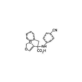 N#Cc1ccc(NC(Cc2ccccc2)(C(=O)O)C2=COCO2)cc1